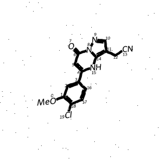 COc1cc(-c2cc(=O)n3ncc(CC#N)c3[nH]2)ccc1Cl